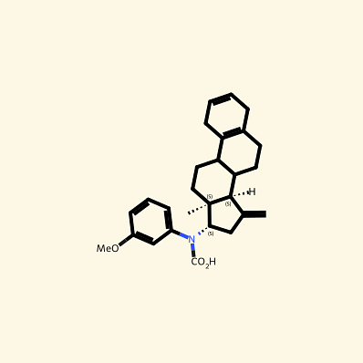 C=C1C[C@H](N(C(=O)O)c2cccc(OC)c2)[C@@]2(C)CCC3C4=C(CC=CC4)CCC3[C@@H]12